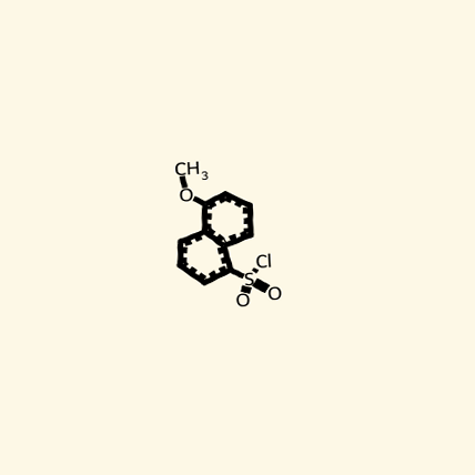 COc1cccc2c(S(=O)(=O)Cl)cccc12